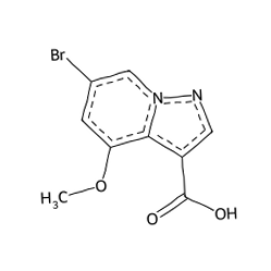 COc1cc(Br)cn2ncc(C(=O)O)c12